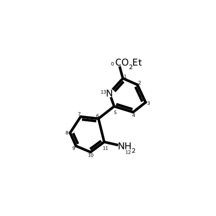 CCOC(=O)c1cccc(-c2ccccc2N)n1